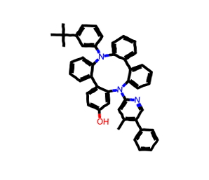 Cc1cc(N2c3ccccc3-c3ccccc3N(c3cccc(C(C)(C)C)c3)c3ccccc3-c3ccc(O)cc32)ncc1-c1ccccc1